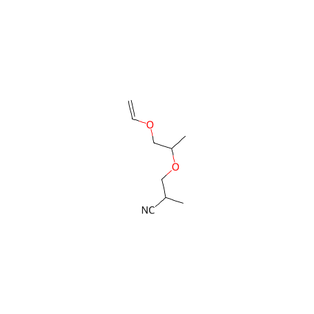 C=COCC(C)OCC(C)C#N